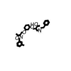 C=C(O)C(CO[C@@H]1CCC[C@H](OCc2nc(-c3cccc(C)c3)oc2C)C1)CN(C)CCc1ccccc1